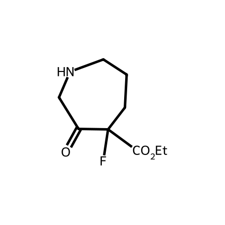 CCOC(=O)C1(F)CCCNCC1=O